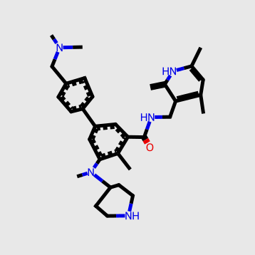 C=C1NC(C)=CC(C)=C1CNC(=O)c1cc(-c2ccc(CN(C)C)cc2)cc(N(C)C2CCNCC2)c1C